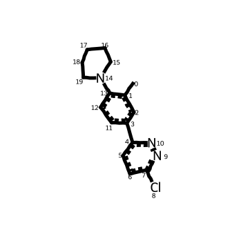 Cc1cc(-c2ccc(Cl)nn2)ccc1N1CCCCC1